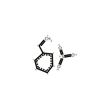 C=Cc1ccccc1.O=S(=O)=O